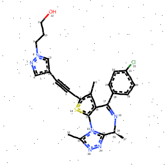 Cc1c(C#Cc2cnn(CCCO)c2)sc2c1C(c1ccc(Cl)cc1)=N[C@@H](C)c1nnc(C)n1-2